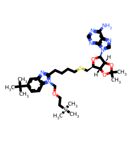 CC1(C)O[C@H]2[C@H](O1)[C@@H](CSCCCCc1nc3cc(C(C)(C)C)ccc3n1COCC[Si](C)(C)C)O[C@H]2n1cnc2c(N)ncnc21